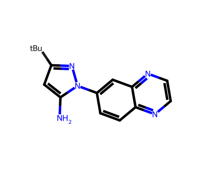 CC(C)(C)c1cc(N)n(-c2ccc3nccnc3c2)n1